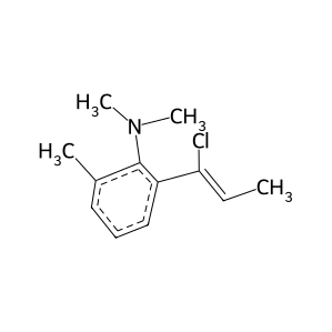 C/C=C(\Cl)c1cccc(C)c1N(C)C